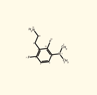 CN(C)c1ccc(F)c(CCN)c1F